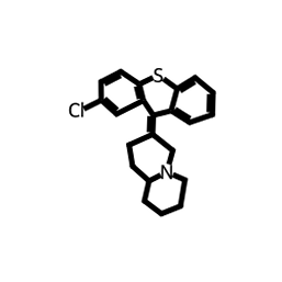 Clc1ccc2c(c1)C(=C1CCC3CCCCN3C1)c1ccccc1S2